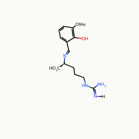 [H]/N=C(\N)NCCC[C@H](N=Cc1cccc(OC)c1O)C(=O)O